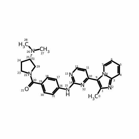 Cc1nc2ccccn2c1-c1ccnc(Nc2ccc(C(=O)N3CC[C@H](N(C)C)C3)cc2)n1